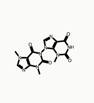 Cn1cnc2c1c(=O)n(-n1cnc3c(=O)[nH]c(=O)n(C)c31)c(=O)n2C